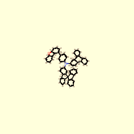 c1ccc2c(c1)-c1ccccc1C21c2ccccc2-c2ccc(N(c3ccc(-c4cccc5oc6ccccc6c45)cc3)c3ccc4c5ccccc5c5ccccc5c4c3)cc21